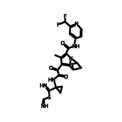 Cc1c(C(=O)C(=O)NC2(C(=N)SC=N)CC2)c2n(c1C(=O)Nc1ccnc(C(F)F)c1)C1CC2C1